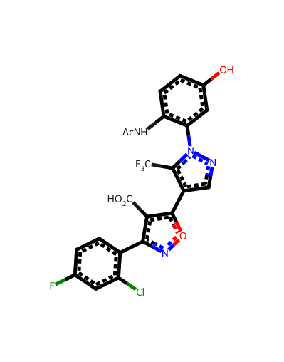 CC(=O)Nc1ccc(O)cc1-n1ncc(-c2onc(-c3ccc(F)cc3Cl)c2C(=O)O)c1C(F)(F)F